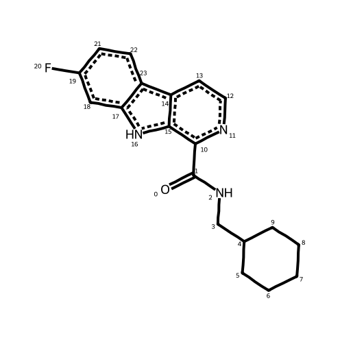 O=C(NCC1CCCCC1)c1nccc2c1[nH]c1cc(F)ccc12